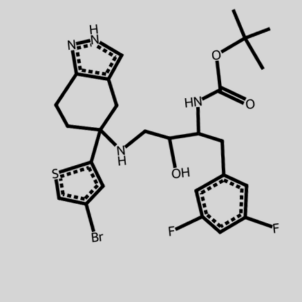 CC(C)(C)OC(=O)NC(Cc1cc(F)cc(F)c1)C(O)CNC1(c2cc(Br)cs2)CCc2n[nH]cc2C1